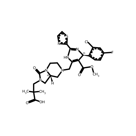 COC(=O)C1=C(CN2CCN3C(=O)N(CC(C)(C)C(=O)O)C[C@H]3C2)NC(c2nccs2)=N[C@H]1c1ccc(F)cc1Cl